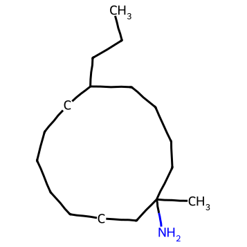 CCCC1CCCCCCCC(C)(N)CCCC1